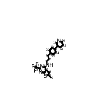 Cc1cc2c(NCCCc3ccc(-c4cccnc4)cc3)nc(C(F)(F)F)nc2s1